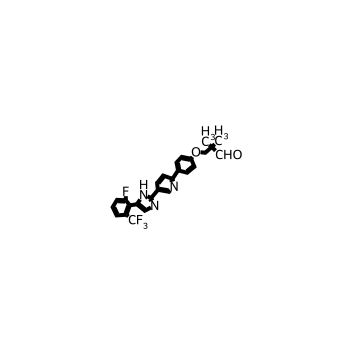 CC(C)(C=O)COc1ccc(-c2ccc(-c3ncc(-c4c(F)cccc4C(F)(F)F)[nH]3)cn2)cc1